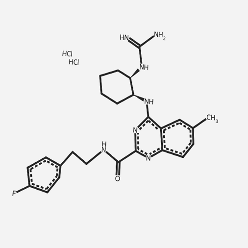 Cc1ccc2nc(C(=O)NCCc3ccc(F)cc3)nc(N[C@H]3CCCC[C@H]3NC(=N)N)c2c1.Cl.Cl